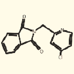 O=C1c2ccccc2C(=O)N1Cc1cc(Cl)ccn1